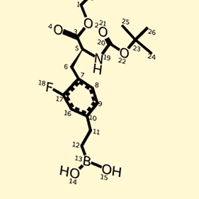 CCOC(=O)[C@H](Cc1ccc(CCB(O)O)cc1F)NC(=O)OC(C)(C)C